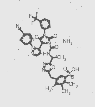 Cc1c(Cc2nnc(C(C)NC(=O)n3c(-c4ccnn4-c4ccc(C#N)cc4)c(C)n(-c4cccc(C(F)(F)F)c4)c3=O)o2)cc(S(=O)(=O)O)c(C)c1C.N